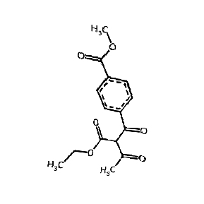 CCOC(=O)C(C(C)=O)C(=O)c1ccc(C(=O)OC)cc1